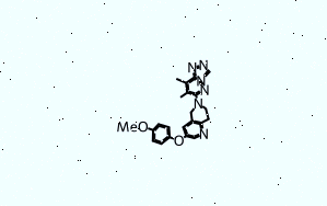 COc1ccc(Oc2cnc3c(c2)CN(c2nn4cnnc4c(C)c2C)CC3)cc1